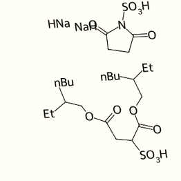 CCCCC(CC)COC(=O)CC(C(=O)OCC(CC)CCCC)S(=O)(=O)O.O=C1CCC(=O)N1S(=O)(=O)O.[NaH].[NaH]